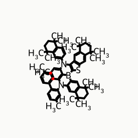 Cc1ccc(-c2ccc(C)cc2N2c3cc4c(cc3B3c5sc6cc7c(cc6c5N(c5ccc6c(c5)C(C)(C)CCC6(C)C)c5cc(C)cc2c53)C(C)(C)CCC7(C)C)C(C)(C)CCC4(C)C)cc1